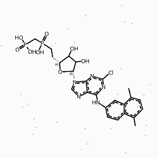 Cc1ccc(C)c2cc(Nc3nc(Cl)nc4c3ncn4[C@@H]3O[C@H](CCP(=O)(O)CP(=O)(O)O)C(O)C3O)ccc12